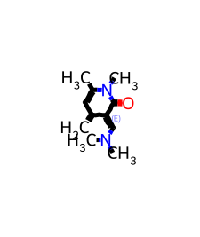 C=c1cc(C)n(C)c(=O)/c1=C/N(C)C